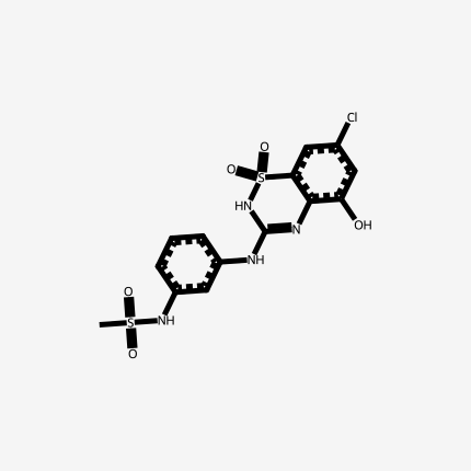 CS(=O)(=O)Nc1cccc(NC2=Nc3c(O)cc(Cl)cc3S(=O)(=O)N2)c1